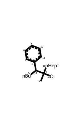 CCCCCCCC(C)([O])C(CCCC)c1ccccc1